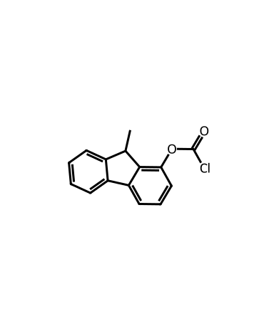 CC1c2ccccc2-c2cccc(OC(=O)Cl)c21